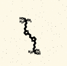 CC(C)(CO)CCCCC1CCC(C=CC2CCC(CCCCC(C)(C)CO)S2)S1